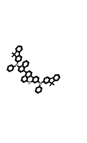 CC1(C)c2ccccc2-c2ccc(N(c3ccccc3)c3ccc4c(c3)Sc3cccc5c(-c6ccc(N(c7ccccc7)c7ccc8c(c7)C(C)(C)c7ccccc7-8)c7ccccc67)ccc-4c35)cc21